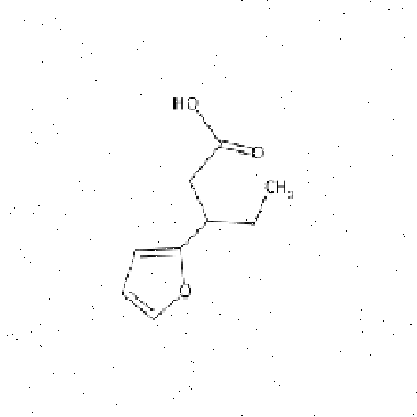 CCC(CC(=O)O)c1ccco1